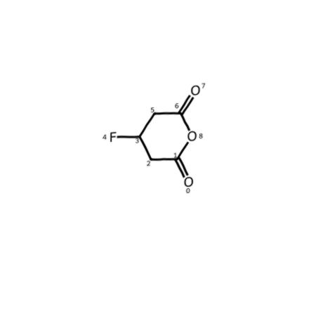 O=C1CC(F)CC(=O)O1